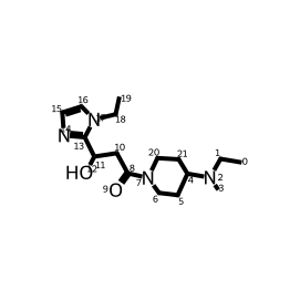 CCN(C)C1CCN(C(=O)CC(O)c2nccn2CC)CC1